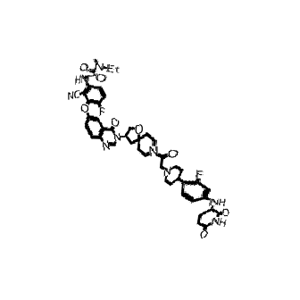 CCN(C)S(=O)(=O)Nc1ccc(F)c(Oc2ccc3ncn([C@H]4COC5(CCN(C(=O)CN6CCC(c7ccc(N[C@@H]8CCC(=O)NC8=O)cc7F)CC6)CC5)C4)c(=O)c3c2)c1C#N